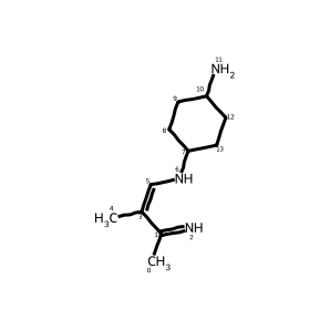 CC(=N)/C(C)=C\NC1CCC(N)CC1